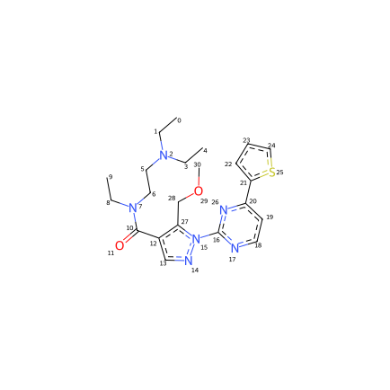 CCN(CC)CCN(CC)C(=O)c1cnn(-c2nccc(-c3cccs3)n2)c1COC